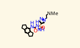 CNCCn1cc(S(=N)(=O)NC(=O)Nc2c3c(cc4c2CCC4)CCC3)cn1